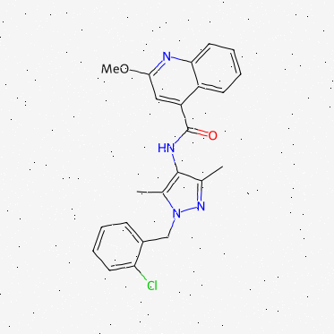 COc1cc(C(=O)Nc2c(C)nn(Cc3ccccc3Cl)c2C)c2ccccc2n1